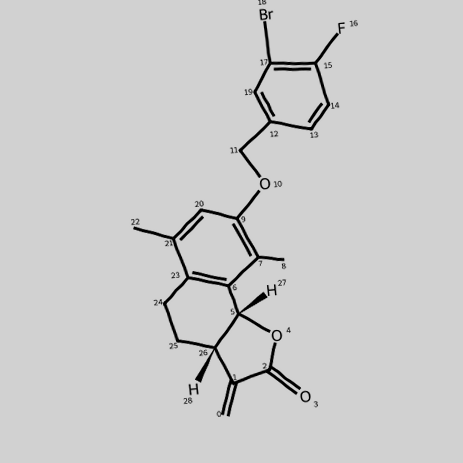 C=C1C(=O)O[C@H]2c3c(C)c(OCc4ccc(F)c(Br)c4)cc(C)c3CC[C@@H]12